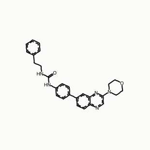 O=C(NCCc1ccccc1)Nc1ccc(-c2ccc3ncc(N4CCOCC4)nc3c2)cc1